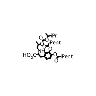 CCCC(C)C(=O)Oc1ccc(C[C@H](NCC(C)OC(=O)OC(C)C(C)C)C(=O)O)cc1OC(=O)C(C)CCC